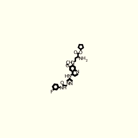 COc1cc2c(Nc3cnn(CC(=O)Nc4cccc(F)c4)c3)ccnc2cc1OCC[C@H](N)C(=O)OC1CCCC1